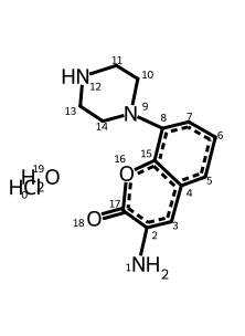 Cl.Nc1cc2cccc(N3CCNCC3)c2oc1=O.O